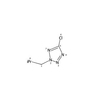 CC(C)Cn1nnc(Cl)n1